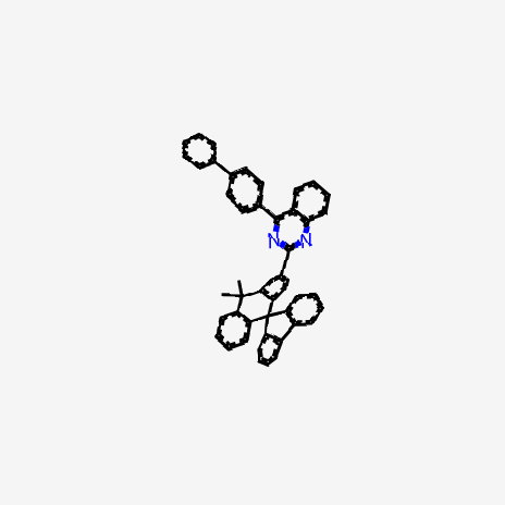 CC1(C)c2ccccc2C2(c3ccccc3-c3ccccc32)c2ccc(-c3nc(-c4ccc(-c5ccccc5)cc4)c4ccccc4n3)cc21